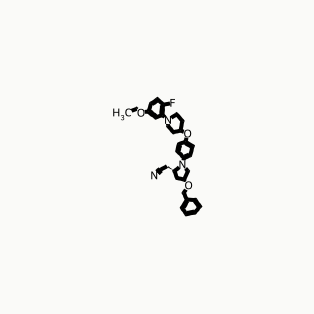 CCOc1ccc(F)c(N2CCC(Oc3ccc(N4C[C@@H](OCc5ccccc5)C[C@@H]4CC#N)cc3)CC2)c1